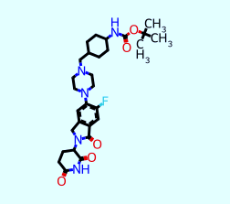 CC(C)(C)OC(=O)NC1CCC(CN2CCN(c3cc4c(cc3F)C(=O)N(C3CCC(=O)NC3=O)C4)CC2)CC1